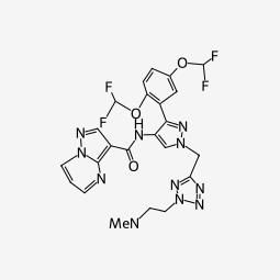 CNCCn1nnc(Cn2cc(NC(=O)c3cnn4cccnc34)c(-c3cc(OC(F)F)ccc3OC(F)F)n2)n1